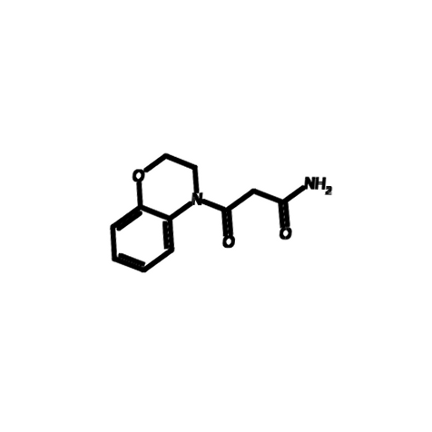 NC(=O)CC(=O)N1CCOc2ccccc21